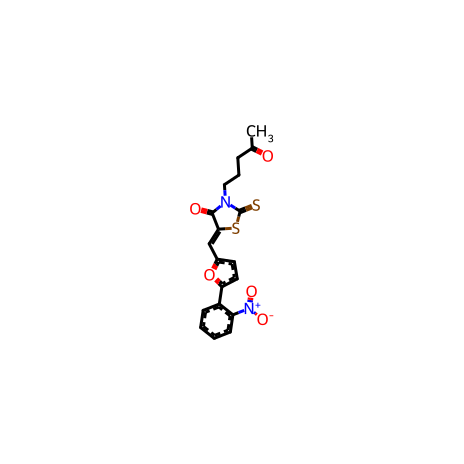 CC(=O)CCCN1C(=O)C(=Cc2ccc(-c3ccccc3[N+](=O)[O-])o2)SC1=S